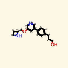 OCCCc1ccc(-c2cncc(OC[C@@H]3CCN3)c2)cc1